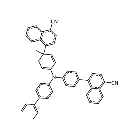 C=C/C(=C\C)c1ccc(N(C2=CCC(C)(c3ccc(C#N)c4ccccc34)C=C2)c2ccc(-c3ccc(C#N)c4ccccc34)cc2)cc1